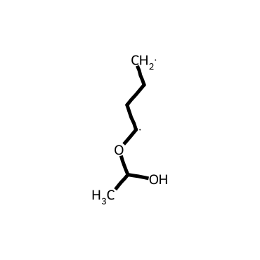 [CH2]CC[CH]OC(C)O